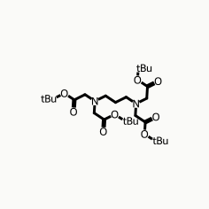 CC(C)(C)OC(=O)CN(CCCN(CC(=O)OC(C)(C)C)CC(=O)OC(C)(C)C)CC(=O)OC(C)(C)C